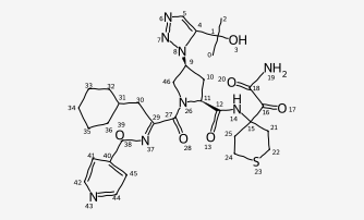 CC(C)(O)c1cnnn1[C@H]1C[C@@H](C(=O)NC2(C(=O)C(N)=O)CCSCC2)N(C(=O)/C(CC2CCCCC2)=N/C(=O)c2ccncc2)C1